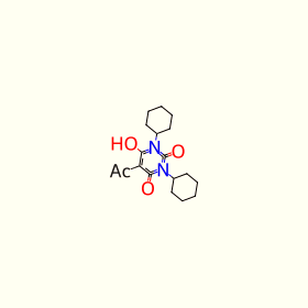 CC(=O)c1c(O)n(C2CCCCC2)c(=O)n(C2CCCCC2)c1=O